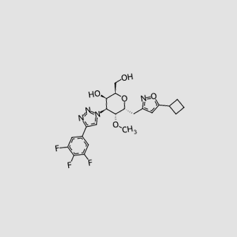 CO[C@@H]1[C@@H](n2cc(-c3cc(F)c(F)c(F)c3)nn2)[C@@H](O)[C@@H](CO)O[C@@H]1Cc1cc(C2CCC2)on1